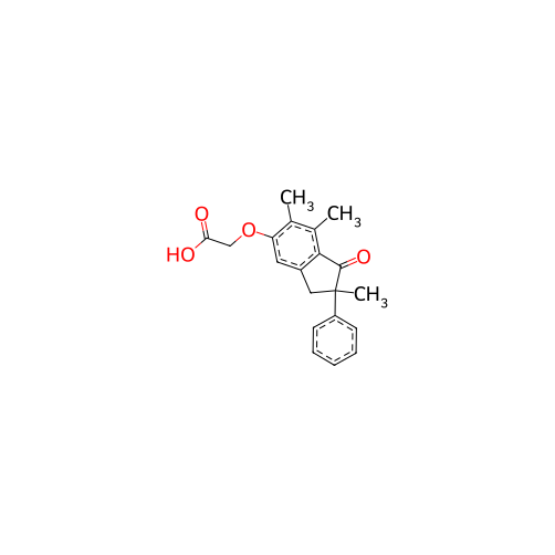 Cc1c(OCC(=O)O)cc2c(c1C)C(=O)C(C)(c1ccccc1)C2